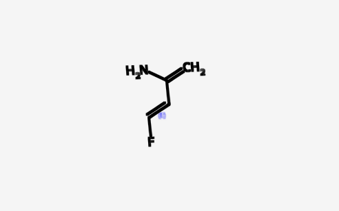 C=C(N)/C=C/F